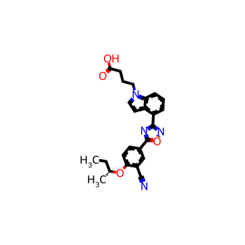 CC[C@@H](C)Oc1ccc(-c2nc(-c3cccc4c3ccn4CCCC(=O)O)no2)cc1C#N